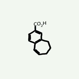 O=C(O)c1ccc2c(c1)CCCC=C2